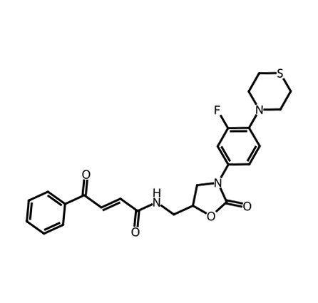 O=C(C=CC(=O)c1ccccc1)NCC1CN(c2ccc(N3CCSCC3)c(F)c2)C(=O)O1